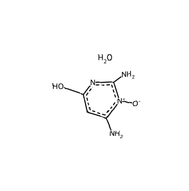 Nc1cc(O)nc(N)[n+]1[O-].O